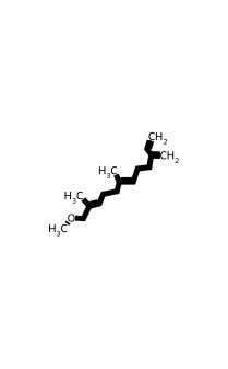 C=CC(=C)CC/C=C(\C)CC/C=C(\C)COC